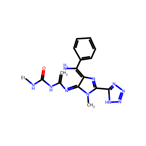 C=C(/N=C1\C(=C(/N)c2ccccc2)N=C(c2nnn[nH]2)N1C)NC(=O)NCC